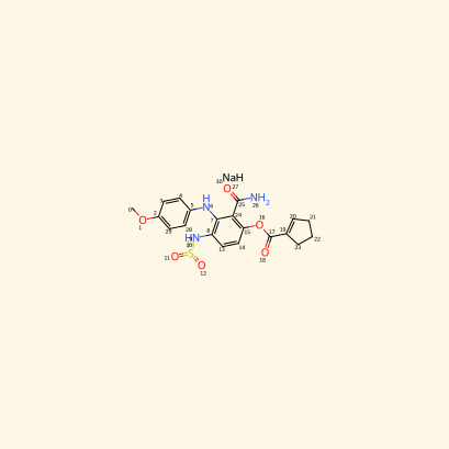 COc1ccc(Nc2c(N[SH](=O)=O)ccc(OC(=O)C3=CCCC3)c2C(N)=O)cc1.[NaH]